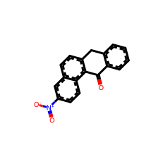 O=C1c2ccccc2Cc2ccc3cc([N+](=O)[O-])ccc3c21